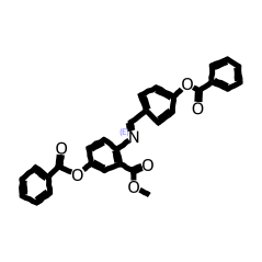 COC(=O)c1cc(OC(=O)c2ccccc2)ccc1/N=C/c1ccc(OC(=O)c2ccccc2)cc1